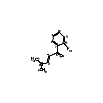 CN(C)/C=C/C(=O)c1ccccc1F